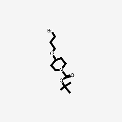 CC(C)(C)OC(=O)N1CCC(OCCCBr)CC1